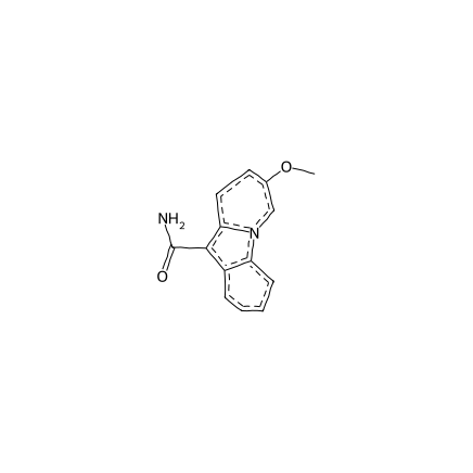 COc1ccc2c(C(N)=O)c3ccccc3n2c1